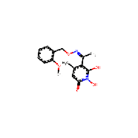 COc1ccccc1CON=C(C)c1c(C)cc(=O)n(O)c1O